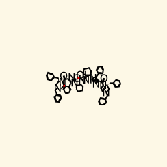 O=C(c1ncn([C@H]2CCCC[C@@H]2NN(C(=O)O)[C@H]2CCCC[C@@H]2n2cnc(C(=O)N3CCN(Cc4ccccc4)C[C@H]3Cc3ccccc3)c2-c2ccccc2)c1-c1ccccc1)N1CCN(Cc2ccccc2)C[C@H]1Cc1ccccc1